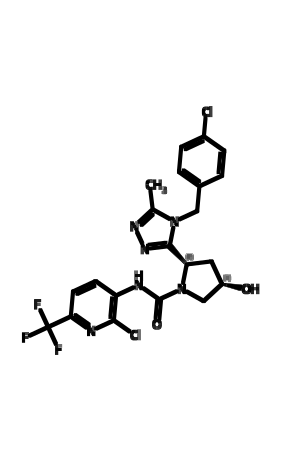 Cc1nnc([C@H]2C[C@@H](O)CN2C(=O)Nc2ccc(C(F)(F)F)nc2Cl)n1Cc1ccc(Cl)cc1